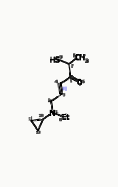 CCN(C/C=C/C(=O)C(C)S)C1CC1